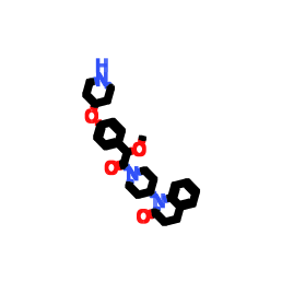 COC(C(=O)N1CCC(N2C(=O)CCc3ccccc32)CC1)c1ccc(OC2CCNCC2)cc1